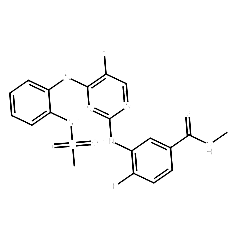 CNC(=O)c1ccc(F)c(Nc2ncc(F)c(Nc3ccccc3NS(C)(=O)=O)n2)c1